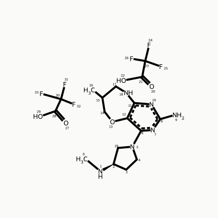 CN[C@@H]1CCN(c2nc(N)nc3c2OCC(C)CN3)C1.O=C(O)C(F)(F)F.O=C(O)C(F)(F)F